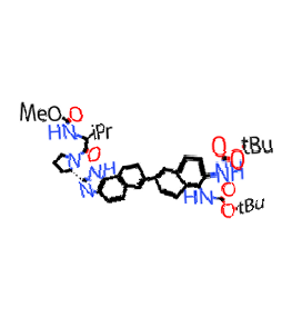 COC(=O)N[C@H](C(=O)N1CCC[C@H]1c1nc2ccc3cc(-c4ccc5c(NC(=O)OC(C)(C)C)c(NC(=O)OC(C)(C)C)ccc5c4)ccc3c2[nH]1)C(C)C